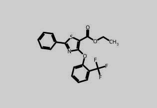 CCOC(=O)c1sc(-c2ccccc2)nc1Oc1ccccc1C(F)(F)F